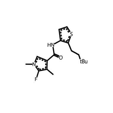 Cc1c(C(=O)Nc2ccsc2CCC(C)(C)C)cn(C)c1F